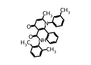 Cc1cccc(-n2c(C)cc(=O)c(C(=O)Nc3c(C)cccc3C)c2-c2ccccc2)c1